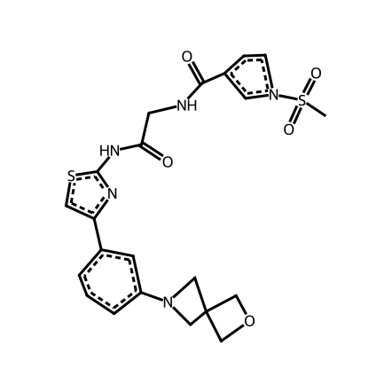 CS(=O)(=O)n1ccc(C(=O)NCC(=O)Nc2nc(-c3cccc(N4CC5(COC5)C4)c3)cs2)c1